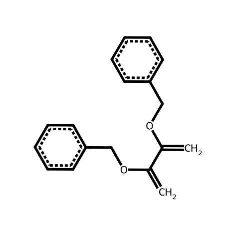 C=C(OCc1ccccc1)C(=C)OCc1ccccc1